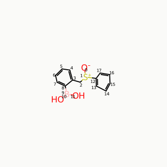 [O-][S+](Cc1ccccc1B(O)O)c1ccccc1